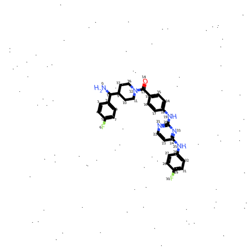 NC(c1ccc(F)cc1)C1CCN(C(=O)c2ccc(Nc3nccc(Nc4ccc(F)cc4)n3)cc2)CC1